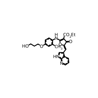 CCOC(=O)C1=C(Nc2ccc(OCCCO)cc2C)OC(=Cc2c[nH]c3ncccc23)C1=O